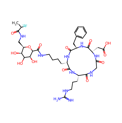 CC([18F])C(=O)NC[C@H]1OC(C(=O)NCCCC[C@@H]2NC(=O)[C@@H](Cc3ccccc3)NC(=O)[C@H](CC(=O)O)NC(=O)CNC(=O)[C@H](CCCNC(=N)N)NC2=O)[C@@H](O)C(O)[C@H]1O